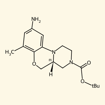 Cc1cc(N)cc2c1OC[C@H]1CN(C(=O)OC(C)(C)C)CCN21